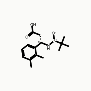 Cc1cccc([C@H](CC(=O)O)N[S+]([O-])C(C)(C)C)c1C